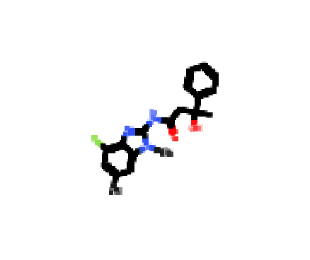 CC(O)(CC(=O)Nc1nc2c(F)cc(C#N)cc2n1C(C)(C)C)c1ccccc1